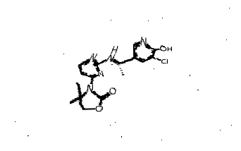 C[C@H](Nc1nccc(N2C(=O)OCC2(C)C)n1)c1cnc(O)c(Cl)c1